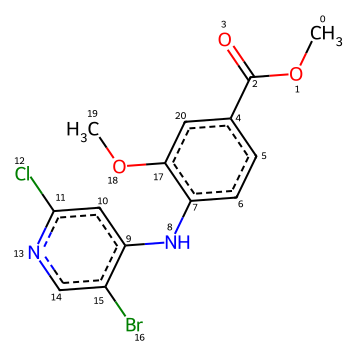 COC(=O)c1ccc(Nc2cc(Cl)ncc2Br)c(OC)c1